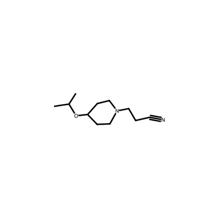 CC(C)OC1CCN(CCC#N)CC1